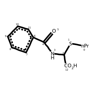 CCCSC(NC(=O)c1ccccc1)C(=O)O